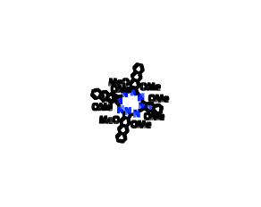 COc1c2c(c(OC)c3cc4ccccc4cc13)-c1nc-2nc2[nH]c(nc3nc(nc4c5c(OC)c6cc7ccccc7cc6c(OC)c5c(n1)n4C)-c1c-3c(OC)c3cc4ccccc4cc3c1OC)c1c(OC)c3ccccc3c(OC)c21